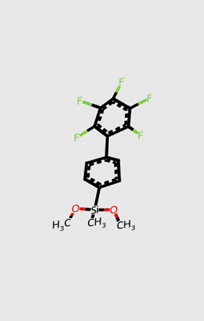 CO[Si](C)(OC)c1ccc(-c2c(F)c(F)c(F)c(F)c2F)cc1